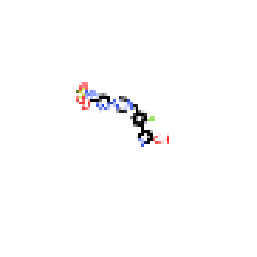 CS(=O)(=O)NC(=O)c1ccc(N2CCN(Cc3ccc(-c4cncc(O)c4)c(F)c3)CC2)nn1